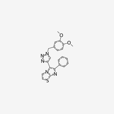 COc1ccc(Cn2cc(-c3c(-c4ccccc4)nc4sccn34)nn2)cc1OC